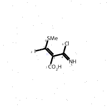 CS/C(I)=C(\C(=N)Cl)C(=O)O